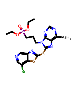 CCOP(=O)(CCCn1c(Sc2nc3cncc(Br)c3s2)nc2c([AsH2])ncnc21)OCC